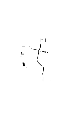 CCC(N)(CC)CCN.[Cl][Pt][Cl]